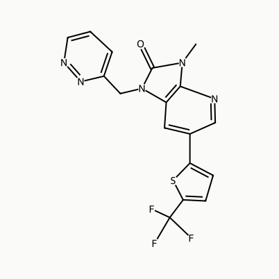 Cn1c(=O)n(Cc2cccnn2)c2cc(-c3ccc(C(F)(F)F)s3)cnc21